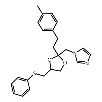 Cc1ccc(CCC2(Cn3ccnc3)OCC(CSc3ccccc3)O2)cc1